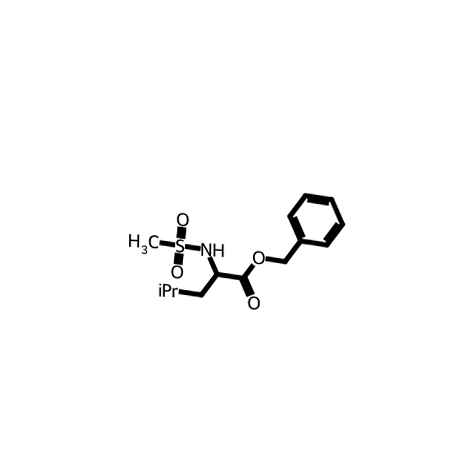 CC(C)CC(NS(C)(=O)=O)C(=O)OCc1ccccc1